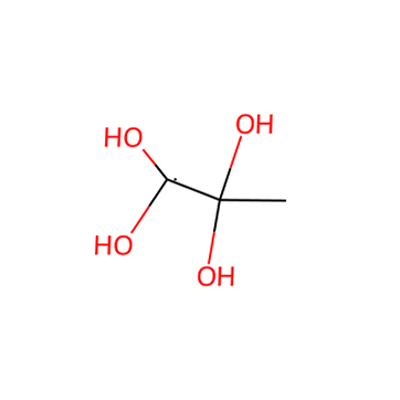 CC(O)(O)[C](O)O